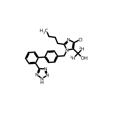 [2H]C([2H])(O)c1c(Cl)nc(CCCC)n1Cc1ccc(-c2ccccc2-c2nn[nH]n2)cc1